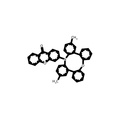 Cc1ccc2c(c1)-c1ccccc1Oc1ccccc1-c1cc(C)ccc1N2c1ccc2c(=O)c3ccccc3oc2c1